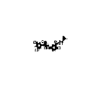 O=CC1(CNc2ccc(Cl)c(C(=O)NCCC3CC3)c2)[C@@H](c2cc(Cl)cc(Cl)c2)C1(Cl)Cl